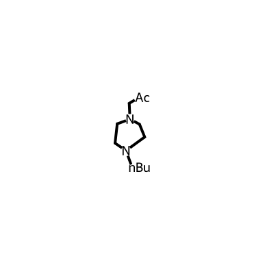 CCCCN1CCN(CC(C)=O)CC1